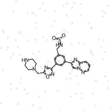 O=[SH](=O)NCc1cc(-c2cn3ncccc3n2)cc(-c2noc(CN3CCNCC3)n2)c1